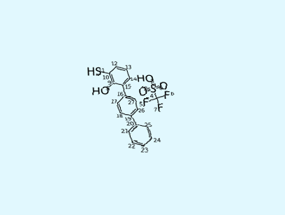 O=S(=O)(O)C(F)(F)F.Oc1c(S)cccc1-c1ccc(-c2ccccc2)cc1